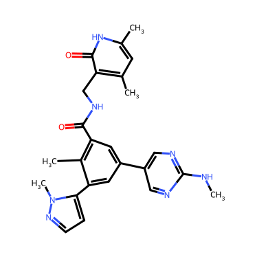 CNc1ncc(-c2cc(C(=O)NCc3c(C)cc(C)[nH]c3=O)c(C)c(-c3ccnn3C)c2)cn1